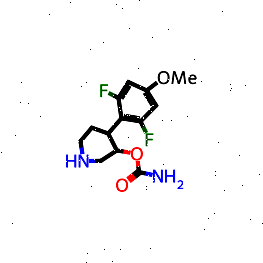 COc1cc(F)c(C2CCNCC2OC(N)=O)c(F)c1